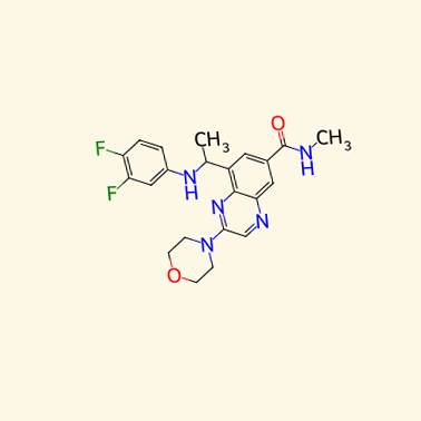 CNC(=O)c1cc(C(C)Nc2ccc(F)c(F)c2)c2nc(N3CCOCC3)cnc2c1